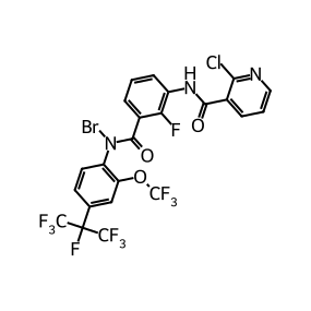 O=C(Nc1cccc(C(=O)N(Br)c2ccc(C(F)(C(F)(F)F)C(F)(F)F)cc2OC(F)(F)F)c1F)c1cccnc1Cl